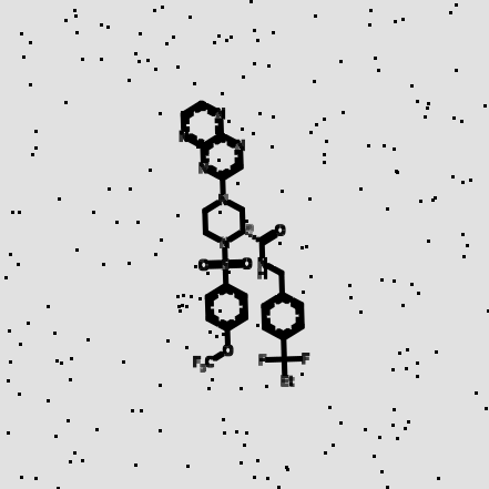 CCC(F)(F)c1ccc(CNC(=O)[C@H]2CN(c3cnc4nccnc4n3)CCN2S(=O)(=O)c2ccc(OC(F)(F)F)cc2)cc1